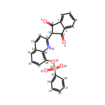 O=C1c2ccccc2C(=O)C1c1ccc2cccc(OS(=O)(=O)c3ccccc3)c2n1